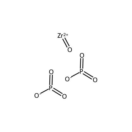 O=P(=O)[O-].O=P(=O)[O-].[O]=[Zr+2]